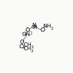 Cc1cccc(OCCCC(=O)N2CCCc3c(-c4cnn(CCc5cccc(N)c5)c4)cccc32)c1C